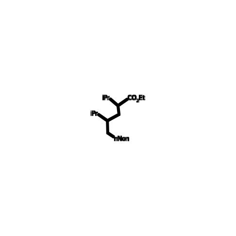 CCCCCCCCCCC(CC(C(=O)OCC)C(C)C)C(C)C